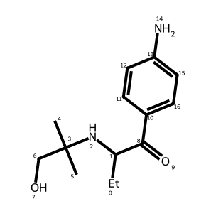 CCC(NC(C)(C)CO)C(=O)c1ccc(N)cc1